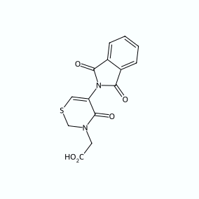 O=C(O)CN1CSC=C(N2C(=O)c3ccccc3C2=O)C1=O